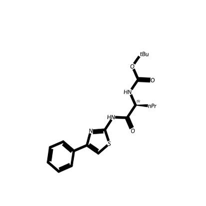 CCC[C@H](NC(=O)OC(C)(C)C)C(=O)Nc1nc(-c2ccccc2)cs1